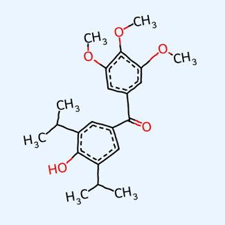 COc1cc(C(=O)c2cc(C(C)C)c(O)c(C(C)C)c2)cc(OC)c1OC